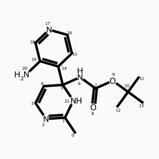 CC1=NC=CC(NC(=O)OC(C)(C)C)(c2ccncc2N)N1